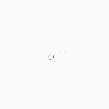 CCCCC1CCC(CCc2ccc(OCCOCC)cc2)CC1